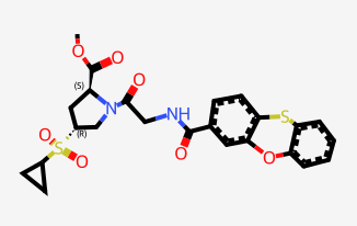 COC(=O)[C@@H]1C[C@@H](S(=O)(=O)C2CC2)CN1C(=O)CNC(=O)c1ccc2c(c1)Oc1ccccc1S2